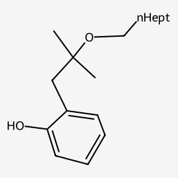 CCCCCCCCOC(C)(C)Cc1ccccc1O